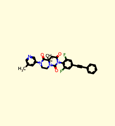 Cc1cncc(N2CCN3C(=O)N(c4c(F)cc(C#Cc5ccccc5)cc4F)C(=O)C[C@@]3(C)C2=O)c1